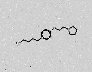 NCCCCc1ccc(OCCN2CCCC2)cc1